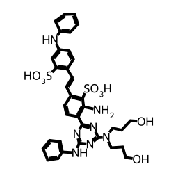 Nc1c(-c2nc(Nc3ccccc3)nc(N(CCCO)CCCO)n2)ccc(C=Cc2ccc(Nc3ccccc3)cc2S(=O)(=O)O)c1S(=O)(=O)O